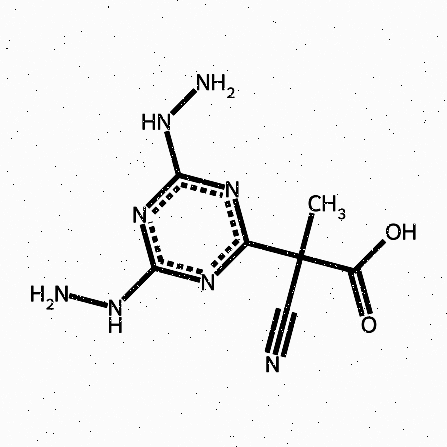 CC(C#N)(C(=O)O)c1nc(NN)nc(NN)n1